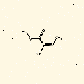 CC=C(CCC)C(=O)OO